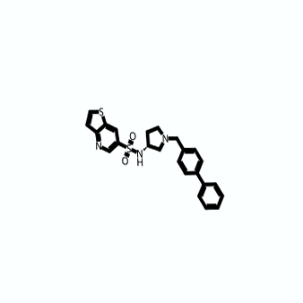 O=S(=O)(N[C@@H]1CCN(Cc2ccc(-c3ccccc3)cc2)C1)c1cnc2ccsc2c1